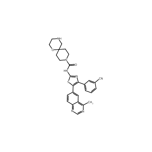 Cc1ncnc2ccc(-c3sc(NC(=O)N4CCC5(CC4)CNCCO5)nc3-c3cccc(C#N)c3)cc12